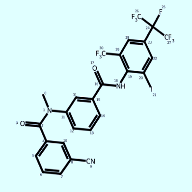 CN(C(=O)c1cccc(C#N)c1)c1cccc(C(=O)Nc2c(I)cc(C(F)(C(F)(F)F)C(F)(F)F)cc2C(F)(F)F)c1